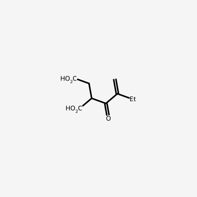 C=C(CC)C(=O)C(CC(=O)O)C(=O)O